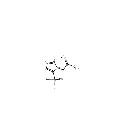 C=C(C)Cn1nncc1C(F)(F)F